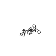 CCOC(=O)c1nc(CNC(=O)C(NC(=O)c2nn(CC3CCCCC3)c3ccccc23)C(C)(C)C)no1